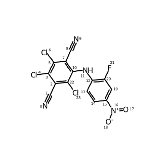 N#Cc1c(Cl)c(Cl)c(C#N)c(Nc2ccc([N+](=O)[O-])cc2F)c1Cl